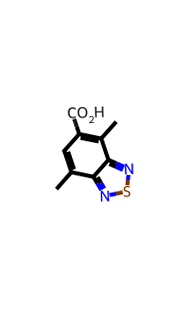 Cc1cc(C(=O)O)c(C)c2nsnc12